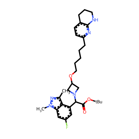 Cc1nn(C)c2cc(F)cc(C(C(=O)OC(C)(C)C)N3CC(OCCCCCc4ccc5c(n4)NCCC5)C3)c12